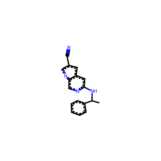 CC(Nc1cc2cc(C#N)cnc2cn1)c1ccccc1